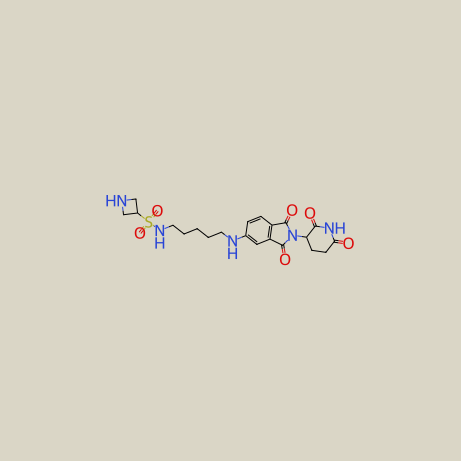 O=C1CCC(N2C(=O)c3ccc(NCCCCCNS(=O)(=O)C4CNC4)cc3C2=O)C(=O)N1